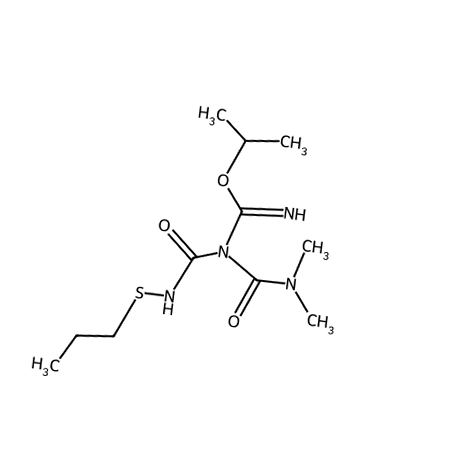 CCCSNC(=O)N(C(=N)OC(C)C)C(=O)N(C)C